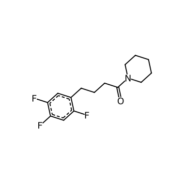 O=C(CCCc1cc(F)c(F)cc1F)N1CCCCC1